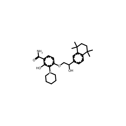 CC1(C)CCC(C)(C)c2cc(C(O)COc3ccc(C(N)=O)c(O)c3N3CCCCC3)ccc21